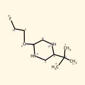 CC(C)(C)C1CNC(OCCF)CN1